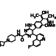 COc1cc2c(cc1/C(C(C)=N)=C(\C)O)[nH]c1nc(C(=O)NC3CCN(C4COC4)CC3)nc(-c3ccnc4ccc(F)cc34)c12